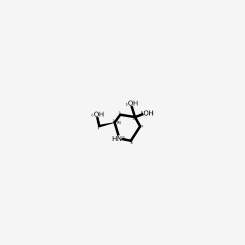 OC[C@H]1CC(O)(O)CCN1